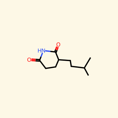 CC(C)CCC1CCC(=O)NC1=O